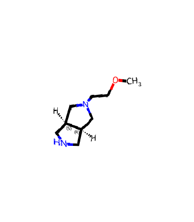 COCCN1C[C@H]2CNC[C@H]2C1